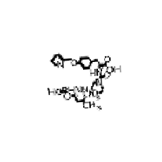 CC(C)C[C@H](N)OBO.O=C(O)[C@H](Cc1ccc(OCc2ccccn2)cc1)NC(=O)N1CCOCC1